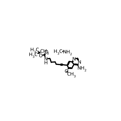 CN.COc1cc2c(N)ncnc2cc1C#CCCCCNC(=O)OC(C)(C)C